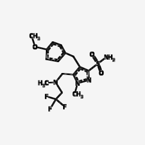 COc1ccc(Cc2c(S(N)(=O)=O)nn(C)c2CN(C)CC(F)(F)F)cc1